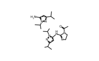 CC(=O)N1CCN=C1Nc1cc(C(C)C)nn1C(C)C.CC(C)c1cc(N)n(C(C)C)n1